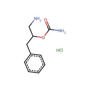 Cl.NCC(Cc1ccccc1)OC(N)=O